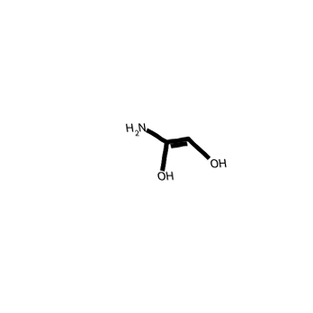 NC(O)=CO